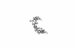 CC(C)N(CCNC(=O)c1csc(NC(=O)c2cccc(NS(C)(=O)=O)c2)n1)C(C)C